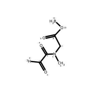 [2H]C(=O)C(=O)N(C)CC(=O)OB